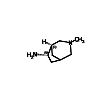 CN1CC2C[C@H](C1)[C@@H](N)C2